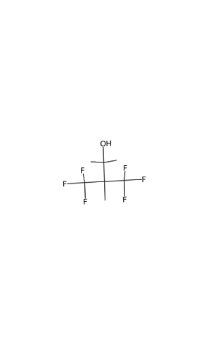 CC(C)(O)C(C)(C(F)(F)F)C(F)(F)F